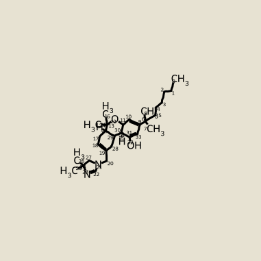 CCCCCCC(C)(C)C1=CC2OC(C)(C)[C@H]3CC=C(CN4C=NC(C)(C)C4)CC3[C@@H]2C(O)=C1